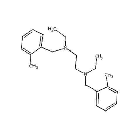 CCN(CCN(CC)Cc1ccccc1C)Cc1ccccc1C